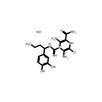 CCCC(NC(=N)N1C(N)=C(Cl)NC(C(N)=O)=C1N)c1ccc(O)c(O)c1.Cl